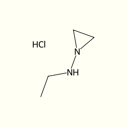 CCNN1CC1.Cl